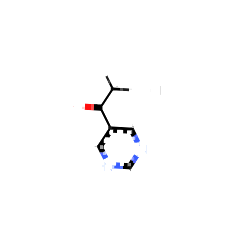 CC(C)C(C(=O)O)C(=O)c1cncnc1